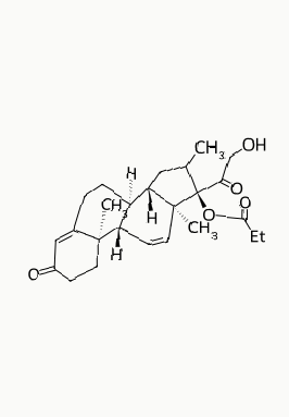 CCC(=O)O[C@]1(C(=O)CO)C(C)C[C@H]2[C@@H]3CCC4=CC(=O)CC[C@]4(C)[C@H]3C=C[C@@]21C